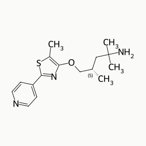 Cc1sc(-c2ccncc2)nc1OC[C@@H](C)CC(C)(C)N